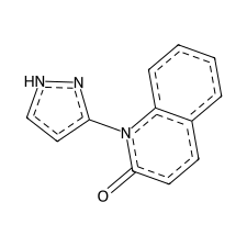 O=c1ccc2ccccc2n1-c1cc[nH]n1